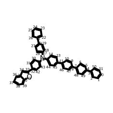 c1ccc(-c2ccc(-c3ccc(-c4ccc(N(c5ccc(-c6ccccc6)cc5)c5ccc(-c6cc7ccccc7o6)cc5)cc4)cc3)cc2)cc1